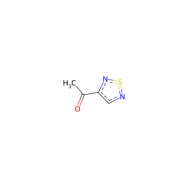 CC(=O)c1cnsn1